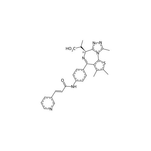 Cc1sc2c(c1C)C(c1ccc(NC(=O)C=Cc3cccnc3)cc1)=N[C@@H](C(C)C(=O)O)c1nnc(C)n1-2